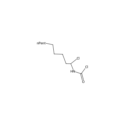 CCCCCCCCCC(Cl)NC(=O)Cl